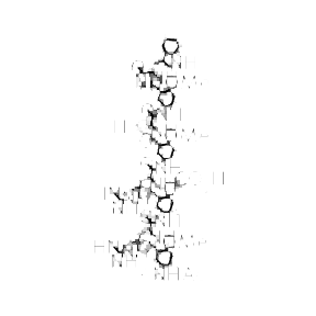 COc1ccc(NC(=O)[C@@H](CCCNC(=N)N)NC(=O)c2cc(NC(=O)[C@@H](CCCNC(=N)N)NC(=O)c3cc(NC(C)=O)ccc3OC)ccc2OCC(=O)O)cc1C(=O)N[C@H](C)C(=O)Nc1ccc(OC)c(C(=O)N[C@H](Cc2c[nH]c3ccccc23)C(N)=O)c1